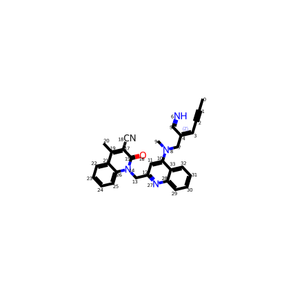 CC#C/C=C(\C=N)CN(C)c1cc(Cn2c(=O)c(C#N)c(C)c3ccccc32)nc2ccccc12